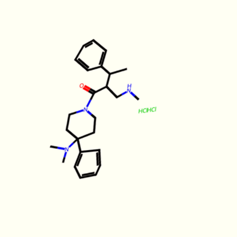 CNCC(C(=O)N1CCC(c2ccccc2)(N(C)C)CC1)C(C)c1ccccc1.Cl.Cl